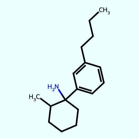 CCCCc1cccc(C2(N)CCCCC2C)c1